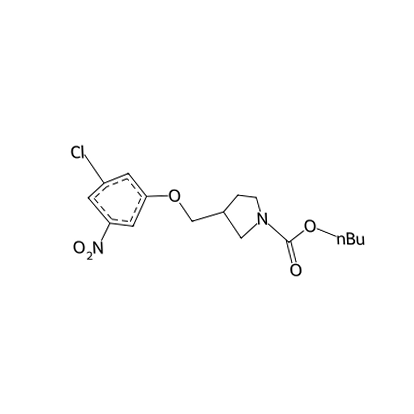 CCCCOC(=O)N1CCC(COc2cc(Cl)cc([N+](=O)[O-])c2)C1